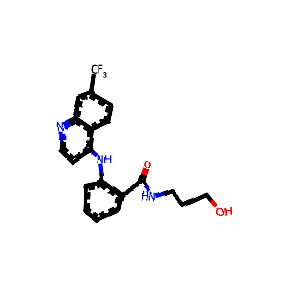 O=C(NCCCO)c1ccccc1Nc1ccnc2cc(C(F)(F)F)ccc12